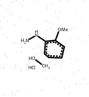 CO.COc1ccccc1NN.Cl